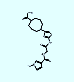 COC(=O)C1CCCC(c2csc(NC(=O)CNC(=O)c3ccn(C(C)(C)C)c3)n2)CCC1